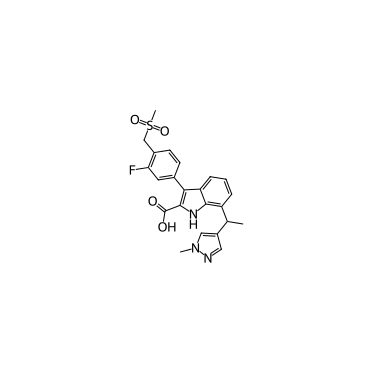 CC(c1cnn(C)c1)c1cccc2c(-c3ccc(CS(C)(=O)=O)c(F)c3)c(C(=O)O)[nH]c12